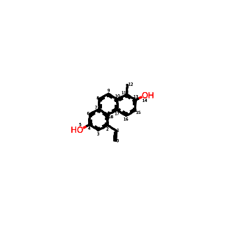 C=Cc1cc(O)cc2ccc3c(C)c(O)ccc3c12